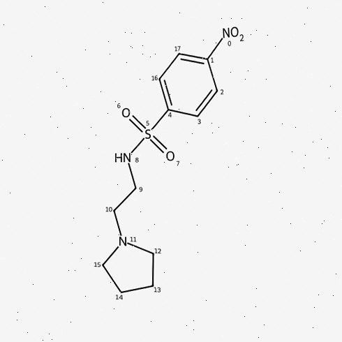 O=[N+]([O-])c1ccc(S(=O)(=O)NCCN2CCCC2)cc1